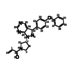 C=CC(=O)N1CC[C@@H](n2nc(-c3ccc(Oc4ccccc4)cc3)c3cncnc32)C1